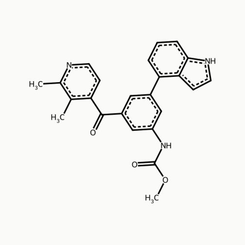 COC(=O)Nc1cc(C(=O)c2ccnc(C)c2C)cc(-c2cccc3[nH]ccc23)c1